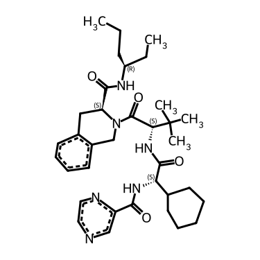 CCC[C@@H](CC)NC(=O)[C@@H]1Cc2ccccc2CN1C(=O)[C@@H](NC(=O)[C@@H](NC(=O)c1cnccn1)C1CCCCC1)C(C)(C)C